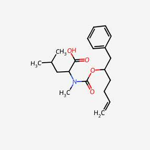 C=CCCC(Cc1ccccc1)OC(=O)N(C)C(CC(C)C)C(=O)O